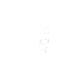 COc1c(Cl)cccc1-c1nc([C@@H]2CCCN2C(=O)OC(C)(C)C)no1